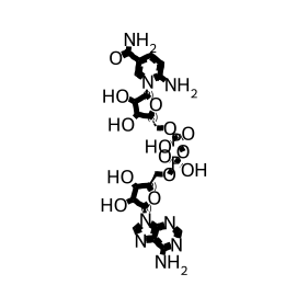 NC(=O)c1ccc(N)[n+]([C@@H]2O[C@H](COP(=O)(O)OP(=O)(O)OC[C@H]3O[C@@H](n4cnc5c(N)ncnc54)C(O)C3O)C(O)C2O)c1